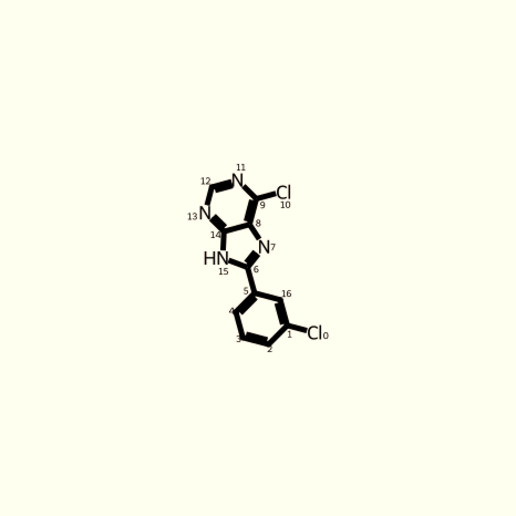 Clc1cccc(-c2nc3c(Cl)ncnc3[nH]2)c1